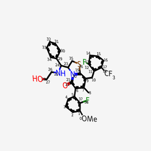 COc1cccc(-c2c(C)c(Cc3c(F)cccc3C(F)(F)F)c3n(c2=O)C(C(NCCO)c2ccccc2)CS3)c1F